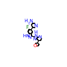 Nc1cncc(-c2cc3c(-c4nc5c(-c6ccoc6)ccnc5[nH]4)n[nH]c3cc2F)c1